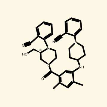 Cc1cc(C)c(C(=O)N2CCN(c3ccccc3C#N)[C@H](CO)C2)cc1NC1CCN(c2ccccc2C#N)CC1